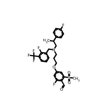 CC(CN(CCCOc1cc(F)c(C=O)c(S(C)(=O)=O)c1)Cc1cccc(C(F)(F)F)c1F)c1ccc(F)cc1